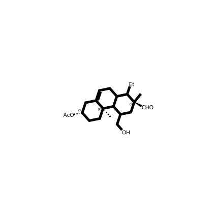 CCC1C2CC=C3C[C@@H](OC(C)=O)CC[C@]3(C)C2C(CO)C[C@]1(C)C=O